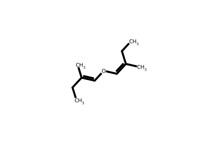 CCC(C)=COC=C(C)CC